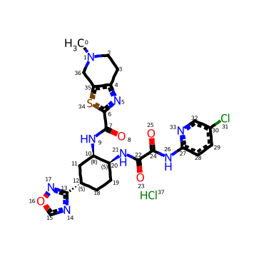 CN1CCc2nc(C(=O)N[C@@H]3C[C@@H](c4ncon4)CC[C@@H]3NC(=O)C(=O)Nc3ccc(Cl)cn3)sc2C1.Cl